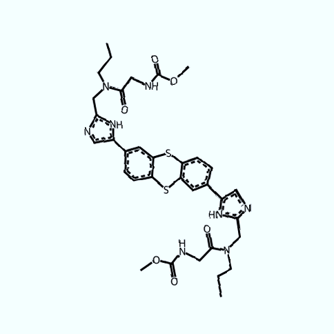 CCCN(Cc1ncc(-c2ccc3c(c2)Sc2ccc(-c4cnc(CN(CCC)C(=O)CNC(=O)OC)[nH]4)cc2S3)[nH]1)C(=O)CNC(=O)OC